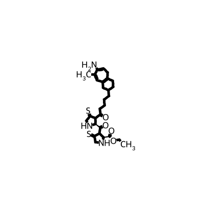 CCOC(=O)[C@H]1NCC(=S)C1C(=O)[C@H]1NCC(=S)C1C(=O)CCCCC1CCC2=C(C=C(C)C(N)=CC2)C1